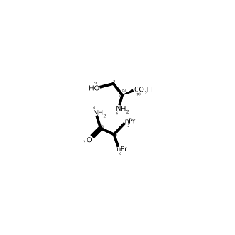 CCCC(CCC)C(N)=O.N[C@@H](CO)C(=O)O